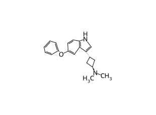 CN(C)[C@H]1C[C@H](c2c[nH]c3ccc(Oc4ccccc4)cc32)C1